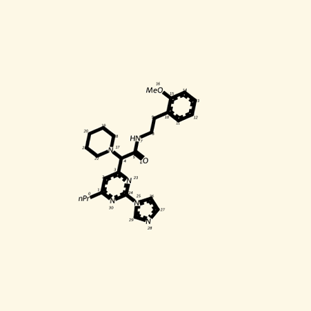 CCCc1cc(C(C(=O)NCCc2ccccc2OC)N2CCCCC2)nc(-n2ccnc2)n1